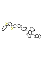 c1ccc2cc(-c3c4ccccc4c(-c4ccc(-c5ccc6cc7c(cc6c5)sc5c7ccc6sc7ccccc7c65)cc4)c4ccccc34)ccc2c1